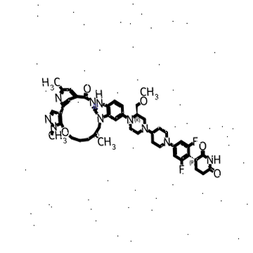 COC[C@H]1CN(C2CCN(c3cc(F)c([C@H]4CCC(=O)NC4=O)c(F)c3)CC2)CCN1c1ccc2c(c1)N1C[C@H](C)CCCOc3c(cnn3C)-c3cc(cc(C)n3)C(=O)/N=C/1N2